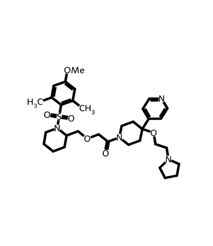 COc1cc(C)c(S(=O)(=O)N2CCCCC2COCC(=O)N2CCC(OCCN3CCCC3)(c3ccncc3)CC2)c(C)c1